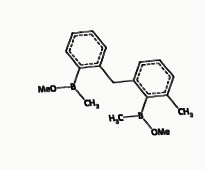 COB(C)c1ccccc1Cc1cccc(C)c1B(C)OC